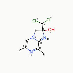 CC1=CN2CC(O)(C(Cl)Cl)N=C2C(C)=N1